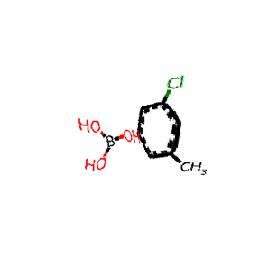 Cc1cccc(Cl)c1.OB(O)O